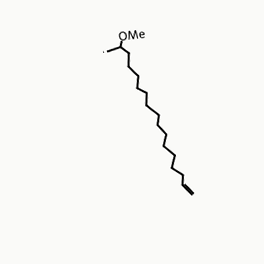 [CH2]C(CCCCCCCCCCCCCC=C)OC